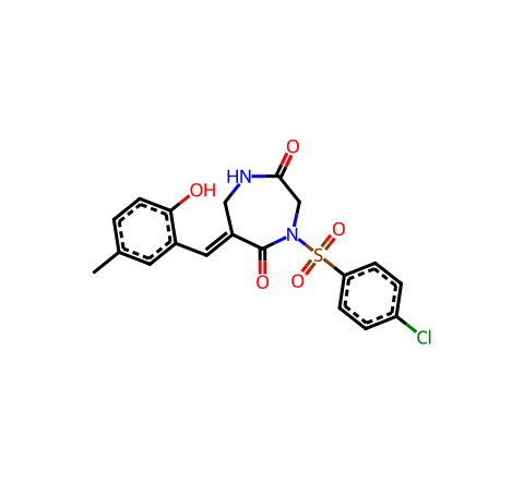 Cc1ccc(O)c(/C=C2\CNC(=O)CN(S(=O)(=O)c3ccc(Cl)cc3)C2=O)c1